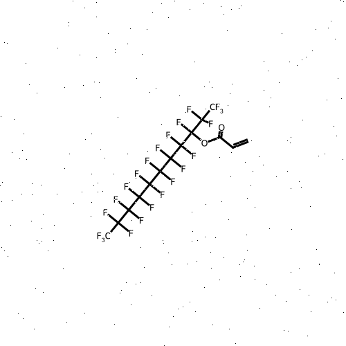 C=CC(=O)OC(F)(C(F)(F)C(F)(F)F)C(F)(F)C(F)(F)C(F)(F)C(F)(F)C(F)(F)C(F)(F)C(F)(F)C(F)(F)F